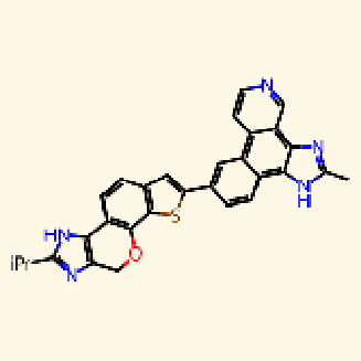 Cc1nc2c3cnccc3c3cc(-c4cc5ccc6c(c5s4)OCc4nc(C(C)C)[nH]c4-6)ccc3c2[nH]1